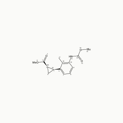 COC(=O)[C@@H]1C[C@@H]1c1cccc(NC(=O)OC(C)(C)C)c1C